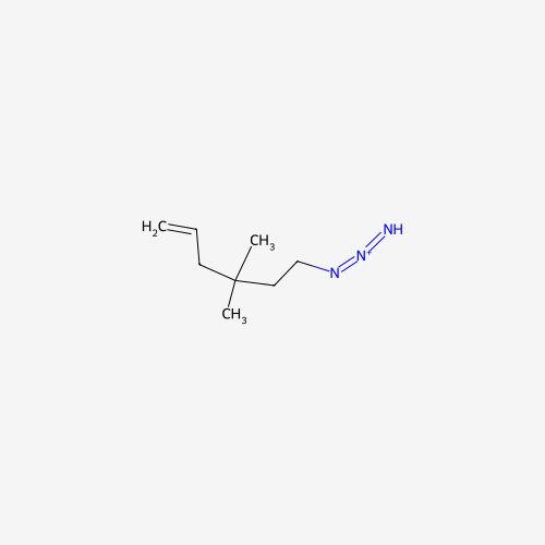 C=CCC(C)(C)CCN=[N+]=N